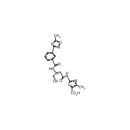 Cc1nc(-c2cccc(C(=O)N[C@H](CC#N)CC(=O)Nc3nc(C)c(C(=O)O)s3)c2)no1